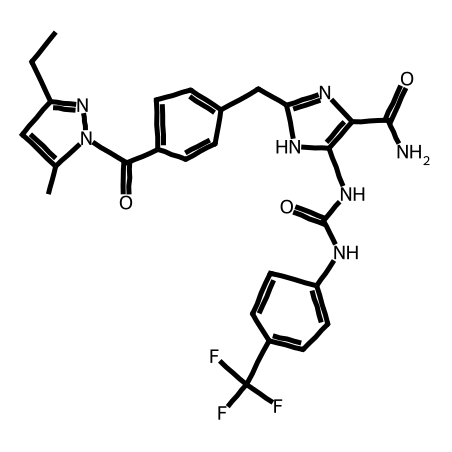 CCc1cc(C)n(C(=O)c2ccc(Cc3nc(C(N)=O)c(NC(=O)Nc4ccc(C(F)(F)F)cc4)[nH]3)cc2)n1